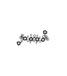 O=C(c1c(F)c(F)c(Oc2ccc([N+](=O)[O-])c(OCc3ccccc3)c2)c(F)c1F)c1c(F)c(F)c(Oc2ccc([N+](=O)[O-])c(OCc3ccccc3)c2)c(F)c1F